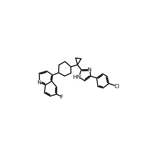 Fc1ccc2nccc(C3CCC(C4(c5nc(-c6ccc(Cl)cc6)c[nH]5)CC4)CC3)c2c1